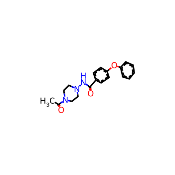 CC(=O)N1CCN(NC(=O)c2ccc(Oc3ccccc3)cc2)CC1